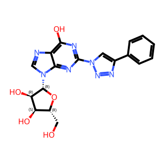 OC[C@H]1O[C@@H](n2cnc3c(O)nc(-n4cc(-c5ccccc5)nn4)nc32)[C@H](O)[C@@H]1O